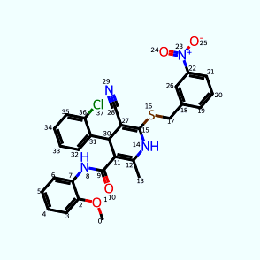 COc1ccccc1NC(=O)C1=C(C)NC(SCc2cccc([N+](=O)[O-])c2)=C(C#N)C1c1ccccc1Cl